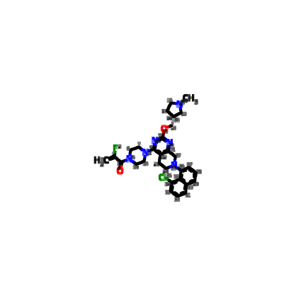 C=C(F)C(=O)N1CCN(c2nc(OC[C@@H]3CCN(C)C3)nc3c2CCN(c2cccc4cccc(Cl)c24)C3)CC1